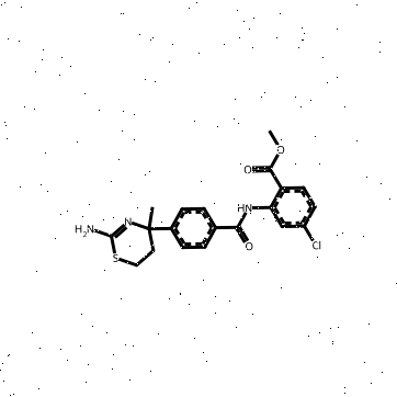 COC(=O)c1ccc(Cl)cc1NC(=O)c1ccc(C2(C)CCSC(N)=N2)cc1